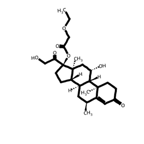 CCOCC(=O)O[C@]1(C(=O)CO)CC[C@H]2[C@@H]3C[C@H](C)C4=CC(=O)CC[C@]4(C)[C@H]3[C@@H](O)C[C@@]21C